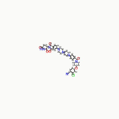 N#Cc1ccc(OC2CCN(C(=O)c3ccc(N4CCC(N5CCN(c6ccc7c(c6)C(=O)N(C6CCC(=O)NC6=O)C7=O)CC5)CC4)cc3)CC2)cc1Cl